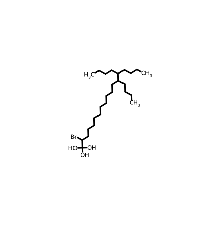 CCCC[C](CCCC)C(CCCC)CCCCCCCCCCC(Br)C(O)(O)O